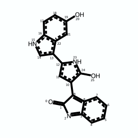 O=C1N=c2ccccc2=C1c1cc(-c2c[nH]c3ccc(O)cc23)[nH]c1O